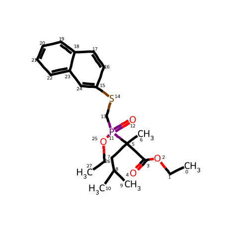 CCOC(=O)C(C)(CC(C)C)P(=O)(CSc1ccc2ccccc2c1)OCC